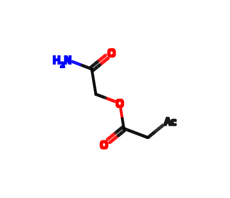 CC(=O)CC(=O)OCC(N)=O